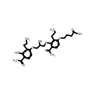 CCCc1c(OCC(O)COc2c(C(C)=O)ccc(OCCCC(=O)O)c2CCC)ccc(C(C)=O)c1O